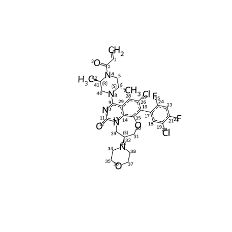 C=CC(=O)N1C[C@H](C)N(c2nc(=O)n3c4c(c(-c5cc(Cl)c(F)cc5F)c(Cl)cc24)OC[C@@H](N2CCOCC2)C3)C[C@H]1C